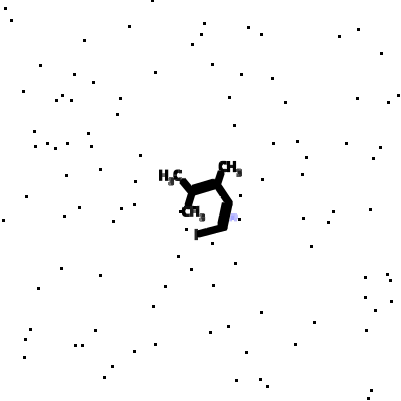 CC(C)=C(C)/C=C\I